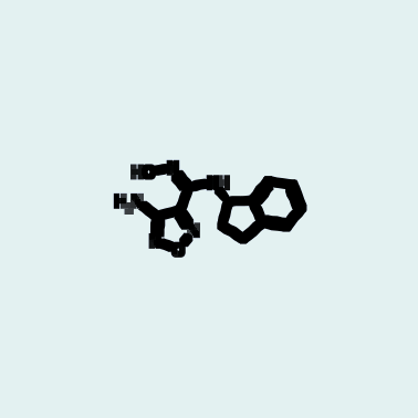 Nc1nonc1/C(=N\O)N[C@@H]1CCc2ccccc21